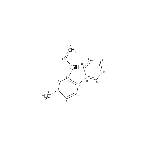 C=C[SiH]1C2=C(C=CC(C)C2)c2ccccc21